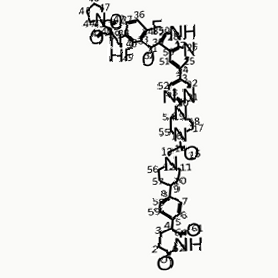 O=C1CCC(c2ccc(C3CCN(CC(=O)N4CCN(c5ncc(-c6cnc7[nH]cc(C(=O)c8c(F)ccc(NS(=O)(=O)N9CCCC9)c8F)c7c6)cn5)CC4)CC3)cc2)C(=O)N1